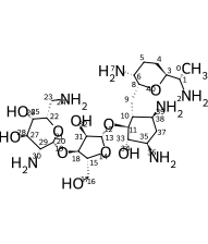 C[C@H](N)[C@@H]1CC[C@@H](N)[C@@H](C[C@H]2[C@H](O[C@@H]3O[C@H](CO)[C@@H](O[C@H]4O[C@@H](CN)[C@@H](O)[C@H](O)[C@H]4N)[C@H]3O)[C@@H](O)[C@H](N)C[C@@H]2N)O1